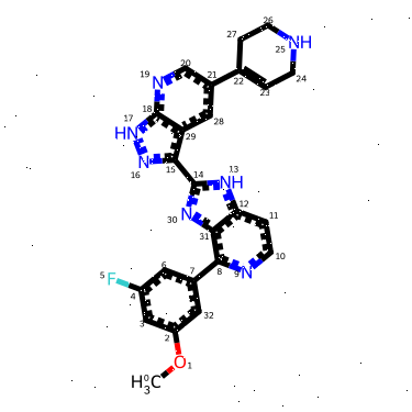 COc1cc(F)cc(-c2nccc3[nH]c(-c4n[nH]c5ncc(C6=CCNCC6)cc45)nc23)c1